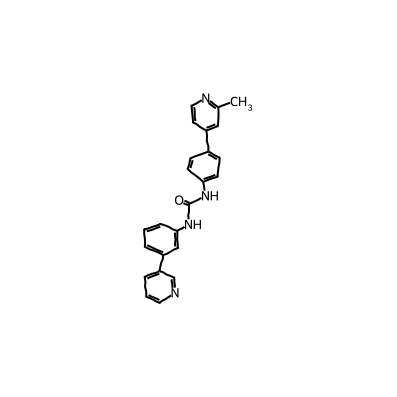 Cc1cc(-c2ccc(NC(=O)Nc3cccc(-c4cccnc4)c3)cc2)ccn1